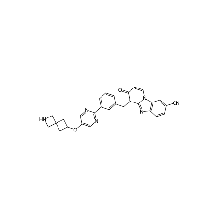 N#Cc1ccc2nc3n(Cc4cccc(-c5ncc(OC6CC7(CNC7)C6)cn5)c4)c(=O)ccn3c2c1